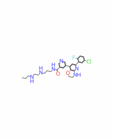 CCCNCCNCCCNC(=O)c1cncc(-c2cc(-c3cc(Cl)ccc3F)nc3c2OCCN3)c1